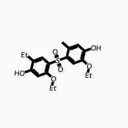 CCOc1cc(S(=O)(=O)c2cc(CC)c(O)cc2OCC)c(C)cc1O